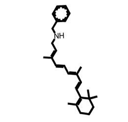 CC(C=CC1=C(C)CCCC1(C)C)=CC=CC(C)=CCNCc1ccccc1